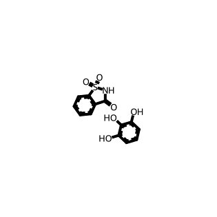 O=C1NS(=O)(=O)c2ccccc21.Oc1cccc(O)c1O